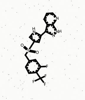 O=S(=O)(Cc1ccc(C(F)(F)F)c(F)c1)c1c[nH]c(-c2n[nH]c3ncccc23)c1